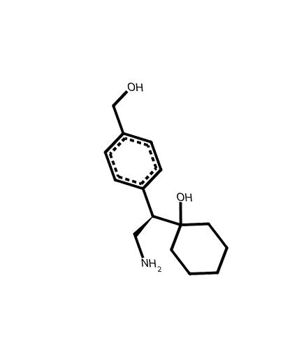 NC[C@@H](c1ccc(CO)cc1)C1(O)CCCCC1